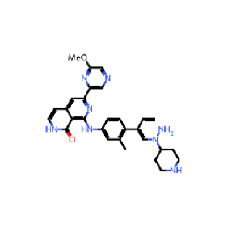 C=C/C(=C\N(N)C1CCNCC1)c1ccc(Nc2nc(-c3cncc(OC)n3)cc3cc[nH]c(=O)c23)cc1C